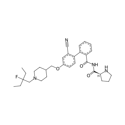 CCC(F)(CC)CN1CCC(COc2ccc(-c3ccccc3C(=O)NC(=O)[C@@H]3CCCN3)c(C#N)c2)CC1